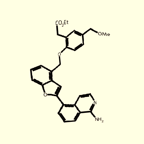 CCOC(=O)Cc1cc(COC)ccc1OCc1cccc2oc(-c3cccc4c(N)nccc34)cc12